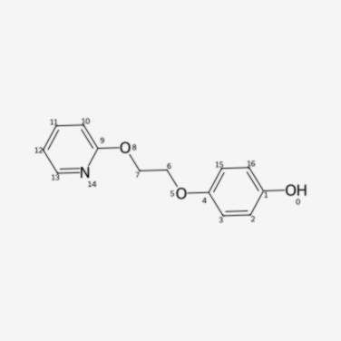 Oc1ccc(OCCOc2ccccn2)cc1